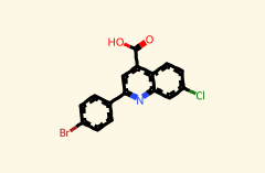 O=C(O)c1cc(-c2ccc(Br)cc2)nc2cc(Cl)ccc12